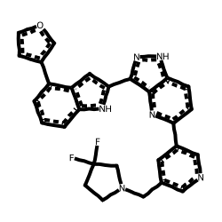 FC1(F)CCN(Cc2cncc(-c3ccc4[nH]nc(-c5cc6c(-c7ccoc7)cccc6[nH]5)c4n3)c2)C1